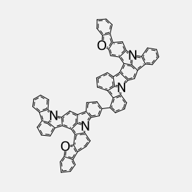 c1ccc2c(c1)oc1cc3c4c5c6cccc7c8c(-c9ccc%10c%11cc%12c(c%13cccc%14c%15ccccc%15n%12c%14%13)c%12c%13c%14oc%15ccccc%15c%14ccc%13n(c%10c9)c%11%12)cccc8n(c5cc5c8ccccc8n(c3cc12)c54)c76